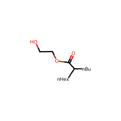 CCCCCCC(CCCC)C(=O)OCCO